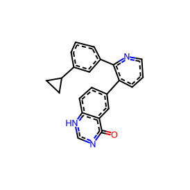 O=c1nc[nH]c2ccc(-c3cccnc3-c3cccc(C4CC4)c3)cc12